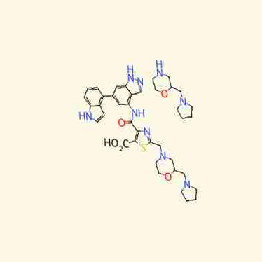 C1CCN(CC2CNCCO2)C1.O=C(Nc1cc(-c2cccc3[nH]ccc23)cc2[nH]ncc12)c1nc(CN2CCOC(CN3CCCC3)C2)sc1C(=O)O